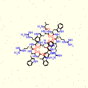 CC(C)[C@H](N)C(=O)N[C@@H](Cc1c[nH]c2ccccc12)C(=O)N[C@@H](Cc1c[nH]c2ccccc12)C(=O)N[C@@H](CCCNC(=N)N)C(=O)N[C@@H](CCCNC(=N)N)C(=O)N[C@@H](Cc1c[nH]c2ccccc12)C(=O)N[C@@H](Cc1c[nH]c2ccccc12)C(=O)N[C@@H](CCCNC(=N)N)C(=O)N[C@@H](CCCNC(=N)N)C(=O)N[C@@H](Cc1c[nH]c2ccccc12)C(=O)N[C@@H](Cc1c[nH]c2ccccc12)C(=O)O